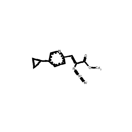 COC(=O)C(=Cc1ccc(C2CC2)cn1)N=[N+]=[N-]